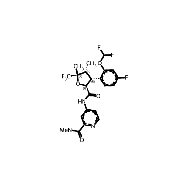 CNC(=O)c1cc(NC(=O)[C@H]2O[C@@](C)(C(F)(F)F)[C@H](C)[C@@H]2c2ccc(F)cc2OC(F)F)ccn1